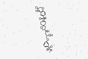 CN(C)S(=O)(=O)c1cccc(OCC(O)CNC2COC3(CCN(S(=O)(=O)c4ccc5c(c4)NC(=O)CO5)CC3)C2)c1